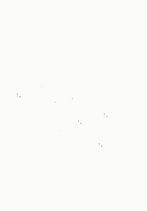 Cc1ccccc1C1=NC(N(C)C)=N/C1=C(/C=O)c1cnccc1C